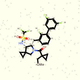 COCC1(C(=O)N2CC3(CC3)[C@H](NS(=O)(=O)C(F)F)[C@@H]2Cc2cccc(-c3cc(F)cc(F)c3)c2F)CC1